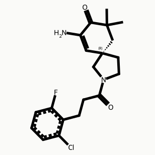 CC1(C)C[C@]2(C=C(N)C1=O)CCN(C(=O)CCc1c(F)cccc1Cl)C2